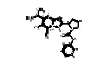 CC(C)c1nc2sc(C3CCCN3C(=O)Cc3ccccc3)nn2c(=O)c1Cl